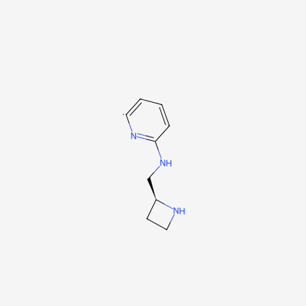 [c]1cccc(NC[C@@H]2CCN2)n1